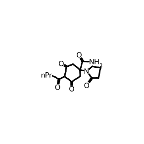 CCCC(=O)C1C(=O)CC(C(N)=O)(N2CCCC2=O)CC1=O